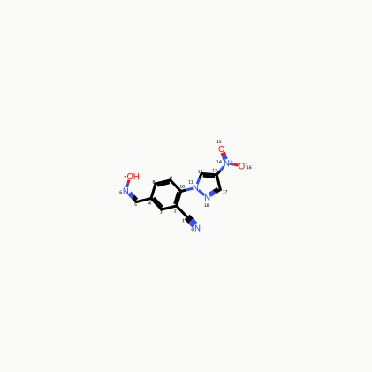 N#Cc1cc(/C=N\O)ccc1-n1cc([N+](=O)[O-])cn1